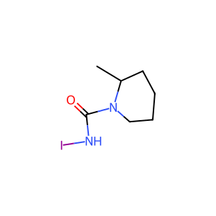 CC1CCCCN1C(=O)NI